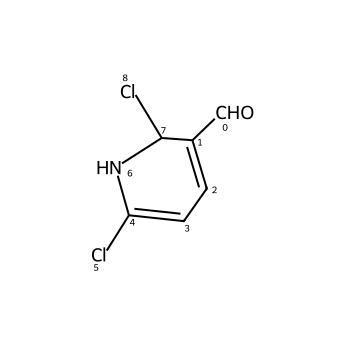 O=CC1=CC=C(Cl)NC1Cl